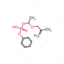 C=C(C)COC(C)OP(=O)(O)Oc1ccccc1